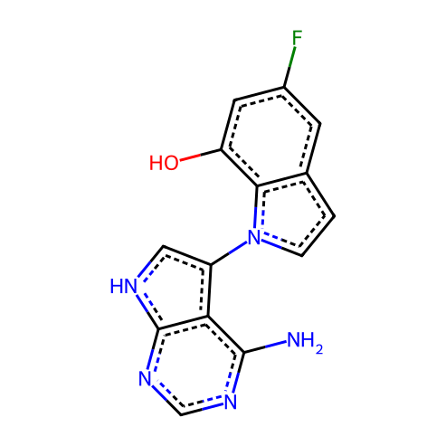 Nc1ncnc2[nH]cc(-n3ccc4cc(F)cc(O)c43)c12